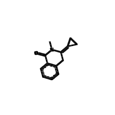 CN1C(=O)c2ccccc2CC1=C1CC1